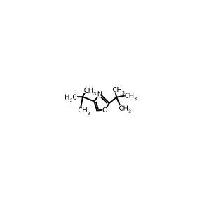 CC(C)(C)c1coc(C(C)(C)C)n1